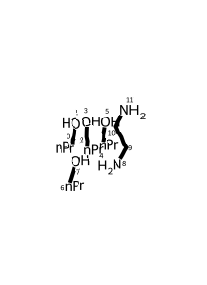 CCCO.CCCO.CCCO.CCCO.NCCN